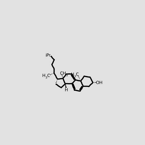 CC(C)CCC[C@@H](C)[C@H]1CC[C@H]2C3=CC=C4C[C@@H](O)CC[C@]4(C)C3=CC[C@]12C